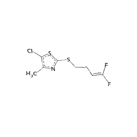 Cc1nc(SCCC=C(F)F)sc1Cl